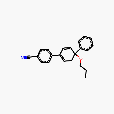 CCCOC1(c2ccccc2)C=CC(c2ccc(C#N)cc2)=CC1